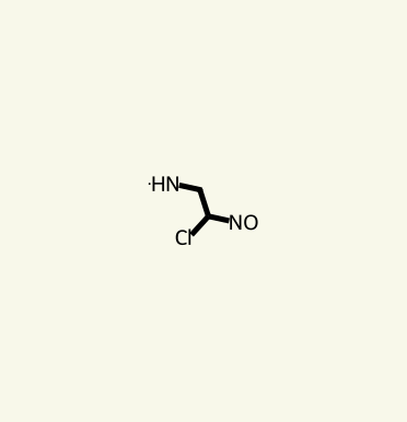 [NH]CC(Cl)N=O